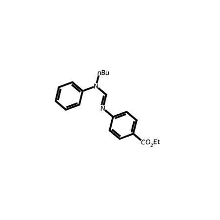 CCCCN(/C=N/c1ccc(C(=O)OCC)cc1)c1ccccc1